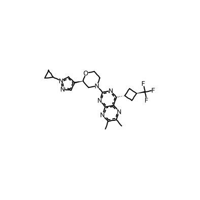 Cc1nc2nc(N3CCO[C@H](c4cnn(C5CC5)c4)C3)nc([C@H]3C[C@H](C(F)(F)F)C3)c2nc1C